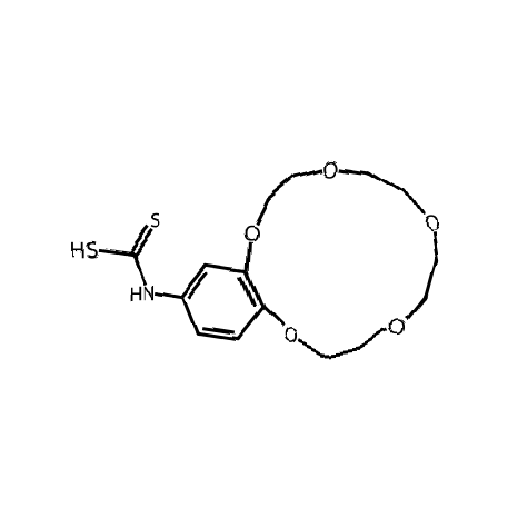 S=C(S)Nc1ccc2c(c1)OCCOCCOCCOCCO2